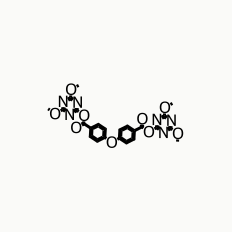 COc1nc(OC)nc(OC(=O)c2ccc(Oc3ccc(C(=O)Oc4nc(OC)nc(OC)n4)cc3)cc2)n1